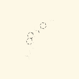 COc1ccc(C(=O)Nc2ccc3ccc([S+]([O-])CCN(C)C)nc3n2)cc1